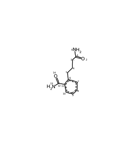 NC(=O)[CH]CCc1ccccc1C(N)=O